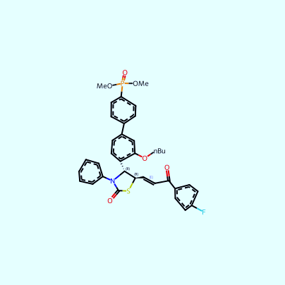 CCCCOc1cc(-c2ccc(P(=O)(OC)OC)cc2)ccc1[C@@H]1[C@@H](/C=C/C(=O)c2ccc(F)cc2)SC(=O)N1c1ccccc1